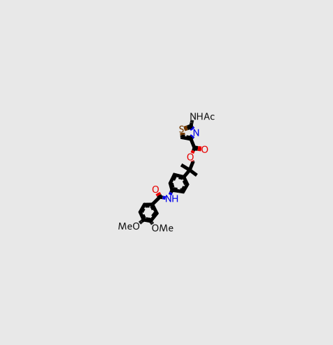 COc1ccc(C(=O)Nc2ccc(C(C)(C)COC(=O)c3csc(NC(C)=O)n3)cc2)cc1OC